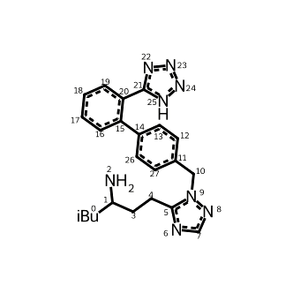 CCC(C)C(N)CCc1ncnn1Cc1ccc(-c2ccccc2-c2nnn[nH]2)cc1